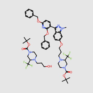 CC(C)(C)OC(=O)N1CCN(CCCO)C(C(F)(F)F)C1.Cn1nc(-c2ccc(OCc3ccccc3)nc2OCc2ccccc2)c2ccc(OCCCN3CCN(C(=O)OC(C)(C)C)CC3C(F)(F)F)cc21